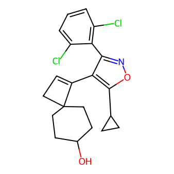 OC1CCC2(CC=C2c2c(-c3c(Cl)cccc3Cl)noc2C2CC2)CC1